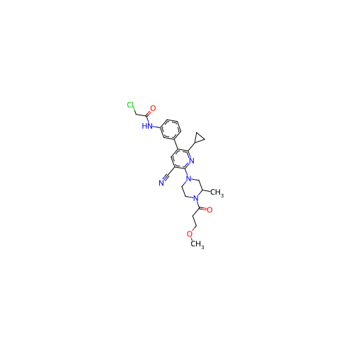 COCCC(=O)N1CCN(c2nc(C3CC3)c(-c3cccc(NC(=O)CCl)c3)cc2C#N)CC1C